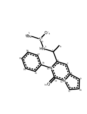 CC(N[S+]([O-])C(C)(C)C)c1cc2cccn2c(=O)n1-c1ccccc1